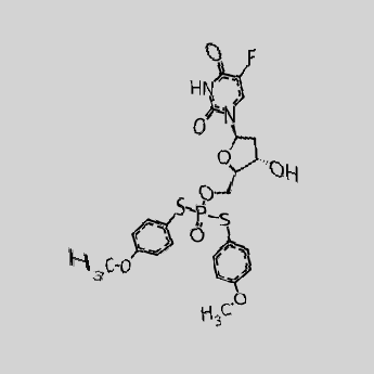 COc1ccc(SP(=O)(OC[C@H]2O[C@@H](n3cc(F)c(=O)[nH]c3=O)C[C@@H]2O)Sc2ccc(OC)cc2)cc1